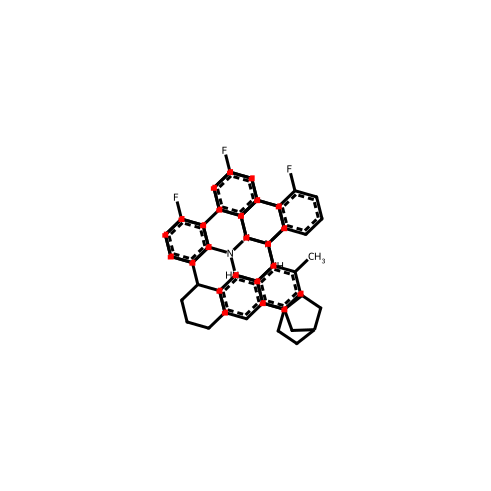 Cc1cccc(NN(c2cc(F)ccc2C2CCCCC2)N(c2ccc(F)cc2C2CCCCC2)N(Nc2ccccc2C23CCC(CC2)C3)c2cccc(F)c2C2CCCCC2)c1C1CCCCC1